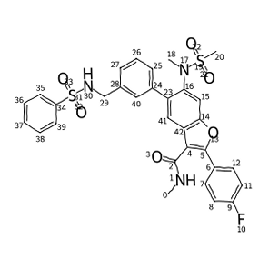 CNC(=O)c1c(-c2ccc(F)cc2)oc2cc(N(C)S(C)(=O)=O)c(-c3cccc(CNS(=O)(=O)c4ccccc4)c3)cc12